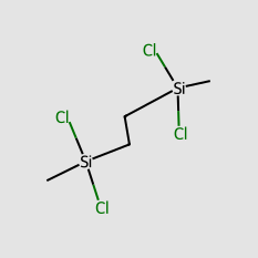 C[Si](Cl)(Cl)CC[Si](C)(Cl)Cl